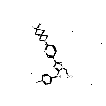 O=CCn1nc(-c2ccc(N3CC4(C3)CC(F)(F)C4)nc2)nc1Nc1ccc(Cl)cc1